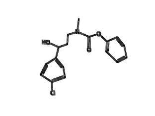 CN(CCC(O)c1ccc(Cl)cc1)C(=O)Oc1ccccc1